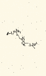 CC(=N)SCc1ncnc2c1cnn2CCSC(=N)N